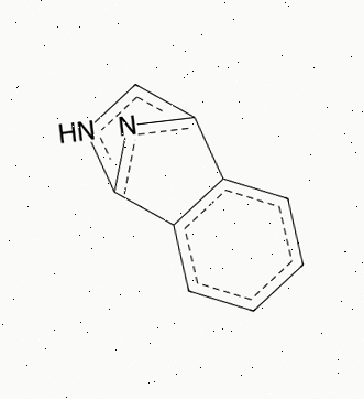 c1ccc2c(c1)-c1c[nH]c-2n1